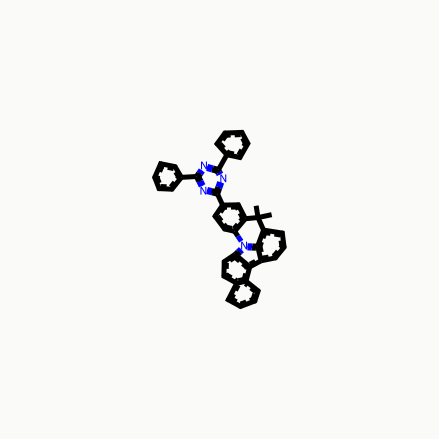 CC1(C)c2cc(-c3nc(-c4ccccc4)nc(-c4ccccc4)n3)ccc2-n2c3ccc4ccccc4c3c3cccc1c32